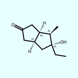 CC[C@@]1(O)C[C@H]2CC(=O)C[C@H]2[C@H]1C